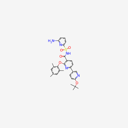 Cc1cc(C)c(Oc2nc(-c3ccc(OC(C)(C)C)nc3)ccc2C(=O)NS(=O)(=O)c2cccc(N)n2)c(C)c1